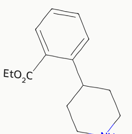 CCOC(=O)c1ccccc1C1CCNCC1